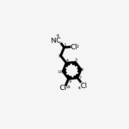 N#CC(Cl)Cc1ccc(Cl)c(Cl)c1